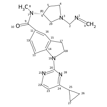 C=NCN1CC[C@@H](N(C)C(=O)c2ccc3c(c2)CCN3c2nccc(C3CC3)n2)C1